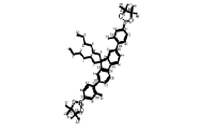 CCCCCCC1(CCCCCC)c2cc(-c3ccc(B4OC(C)(C)C(C)(C)O4)cc3C)ccc2-c2ccc(-c3ccc(B4OC(C)(C)C(C)(C)O4)cc3C)cc21